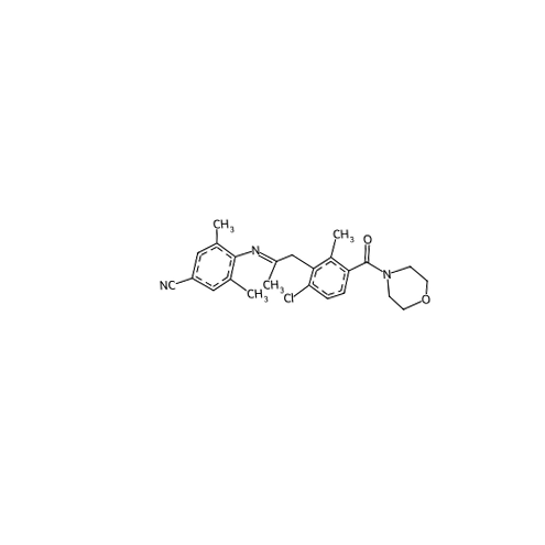 C/C(Cc1c(Cl)ccc(C(=O)N2CCOCC2)c1C)=N\c1c(C)cc(C#N)cc1C